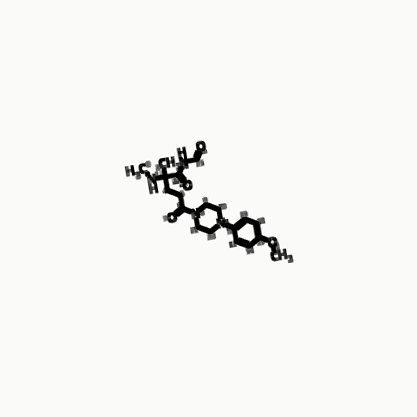 CNC(C)(CCC(=O)N1CCN(c2ccc(OC)cc2)CC1)C(=O)NC=O